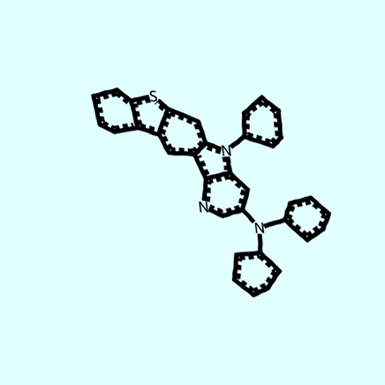 c1ccc(N(c2ccccc2)c2cnc3c4cc5c(cc4n(-c4ccccc4)c3c2)sc2ccccc25)cc1